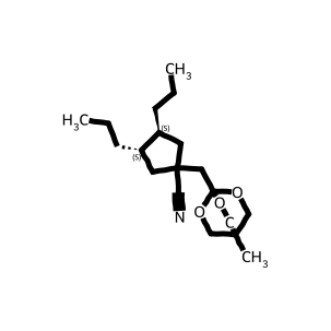 CCC[C@H]1CC(C#N)(CC23OCC(C)(CO2)CO3)C[C@@H]1CCC